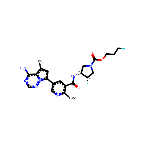 COc1ncc(-c2cc(C(F)(F)F)c3c(N)ncnn23)cc1C(=O)N[C@@H]1CN(C(=O)OCCCF)C[C@@H]1F